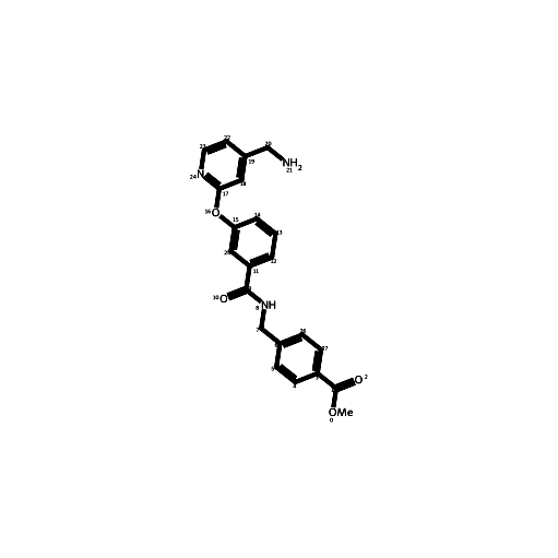 COC(=O)c1ccc(CNC(=O)c2cccc(Oc3cc(CN)ccn3)c2)cc1